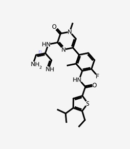 CCc1sc(C(=O)Nc2c(F)ccc(-c3cn(C)c(=O)c(N/C(C=N)=C/N)n3)c2C)cc1C(C)C